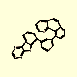 c1cc(-c2cccc3c2sc2nccnc23)cc(-c2cccc3ccc4cccnc4c23)c1